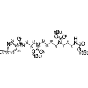 CC(C)(C)OC(=O)NCCCN(CCCCN(CCCNC(=O)c1ccc(Cl)nc1)C(=O)OC(C)(C)C)C(=O)OC(C)(C)C